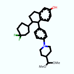 COC(OC)C1CCN(c2ccc(C3c4ccc(O)cc4CCC3C3CCC(F)(F)CC3)cc2)CC1